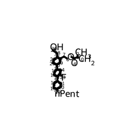 C=C(C)C(=O)OCCc1cc(-c2ccc(-c3ccc(CCCCC)cc3)c(F)c2)ccc1CCO